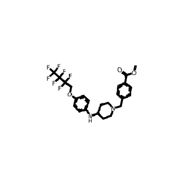 COC(=O)c1ccc(CN2CCC(Nc3ccc(OCC(F)(F)C(F)(F)C(F)(F)F)cc3)CC2)cc1